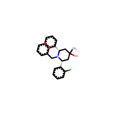 CC1(O)C[C@H](c2ccccc2F)N(Cc2ccccc2)[C@H](c2ccccc2)C1